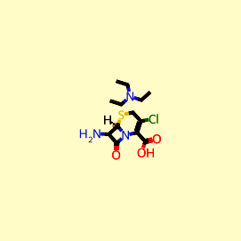 CCN(CC)CC.NC1C(=O)N2C(C(=O)O)=C(Cl)CS[C@H]12